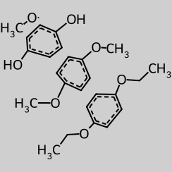 CCOc1ccc(OCC)cc1.COc1ccc(OC)cc1.C[O].Oc1ccc(O)cc1